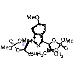 COc1ccc2c(C(OP(=O)(OC)OC)=C(C)C)nn(/C=C(/OP(=O)(OC)OC)C(C)(C)C)c2c1